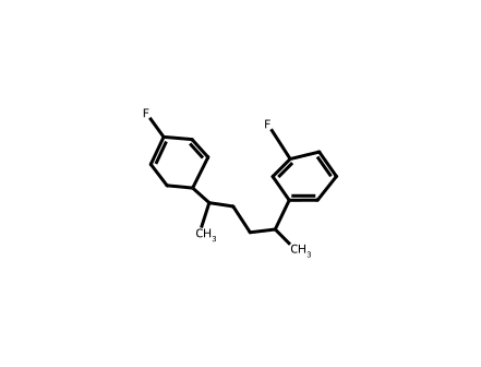 CC(CCC(C)C1C=CC(F)=CC1)c1cccc(F)c1